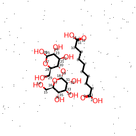 O=C(O)CCCCCCCCC(=O)O.OC[C@H]1O[C@H](O[C@H]2[C@H](O)[C@@H](O)[C@H](O)O[C@@H]2CO)[C@H](O)[C@@H](O)[C@@H]1O